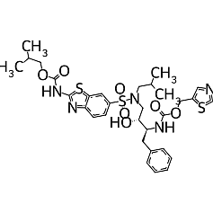 CC(C)COC(=O)Nc1nc2ccc(S(=O)(=O)N(CC(C)C)C[C@@H](O)[C@H](Cc3ccccc3)NC(=O)OCc3cncs3)cc2s1